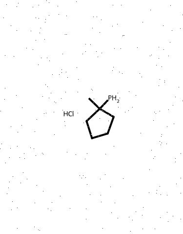 CC1(P)CCCC1.Cl